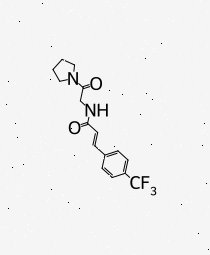 O=C(/C=C/c1ccc(C(F)(F)F)cc1)NCC(=O)N1CCCC1